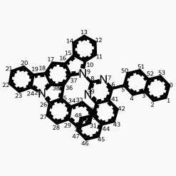 c1ccc2cc(-c3nc(-n4c5ccccc5c5cc6c7ccccc7n7c8ccc9ccccc9c8c(c54)c67)nc4c3ccc3ccccc34)ccc2c1